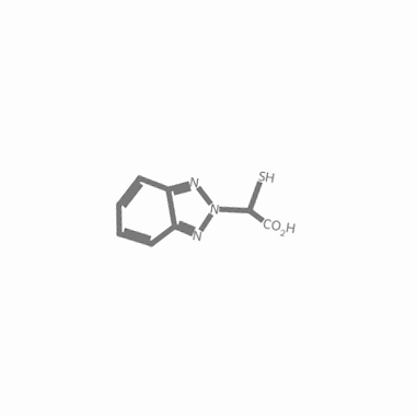 O=C(O)C(S)n1nc2ccccc2n1